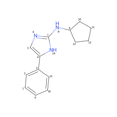 c1ccc(-c2cnc(NC3CCCC3)[nH]2)cc1